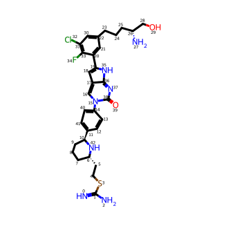 N=C(N)SCC[C@@H]1CCC[C@@H](c2ccc(-n3cc4cc(-c5cc(CCC[C@@H](N)CO)cc(Cl)c5F)[nH]c4nc3=O)cc2)N1